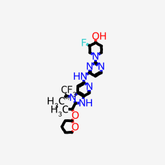 CC(OC1CCCCO1)C1Nc2cnc(Nc3ccnc(N4CCC(O)C(F)C4)n3)cc2N1[C@@H](C)C(F)(F)F